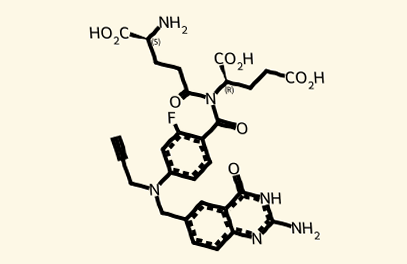 C#CCN(Cc1ccc2nc(N)[nH]c(=O)c2c1)c1ccc(C(=O)N(C(=O)CC[C@H](N)C(=O)O)[C@H](CCC(=O)O)C(=O)O)c(F)c1